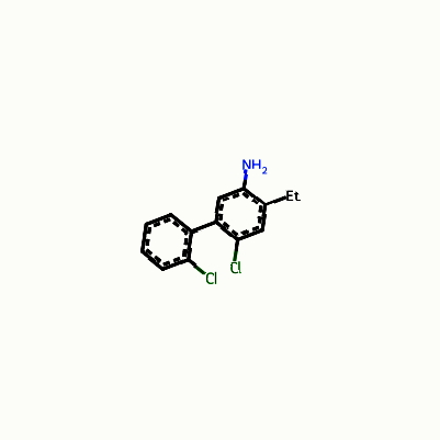 CCc1cc(Cl)c(-c2ccccc2Cl)cc1N